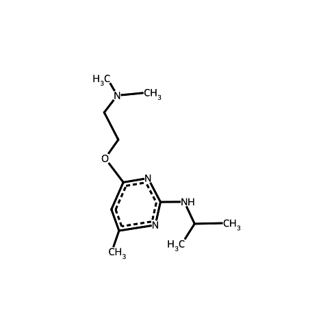 Cc1cc(OCCN(C)C)nc(NC(C)C)n1